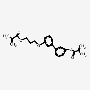 C=C(C)C(=O)OCCCOc1cccc(-c2cccc(OC(=O)C(=C)C)c2)c1